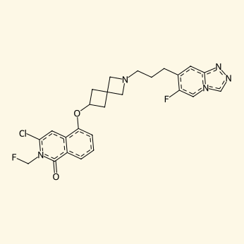 O=c1c2cccc(OC3CC4(C3)CN(CCCc3cc5nncn5cc3F)C4)c2cc(Cl)n1CF